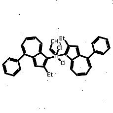 C[CH]=[Ti]([Cl])([Cl])([c]1c(CC)cc2c(-c3ccccc3)ccccc1-2)[c]1c(CC)cc2c(-c3ccccc3)ccccc1-2